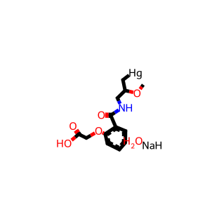 COC([CH2][Hg])CNC(=O)c1ccccc1OCC(=O)O.O.[NaH]